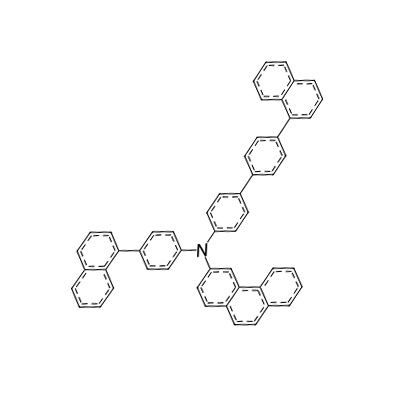 c1ccc2c(-c3ccc(-c4ccc(N(c5ccc(-c6cccc7ccccc67)cc5)c5ccc6ccc7ccccc7c6c5)cc4)cc3)cccc2c1